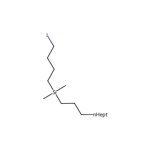 CCCCCCCCCC[Si](C)(C)CCCCI